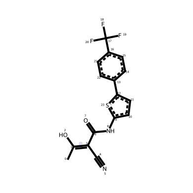 C/C(O)=C(\C#N)C(=O)Nc1ccc(-c2ccc(C(F)(F)F)cc2)s1